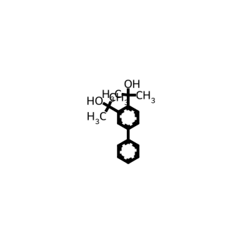 CC(C)(O)c1ccc(-c2ccccc2)cc1C(C)(C)O